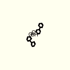 B(Oc1cccc(-c2ccccc2)c1)Oc1cccc(-c2ccccc2)c1